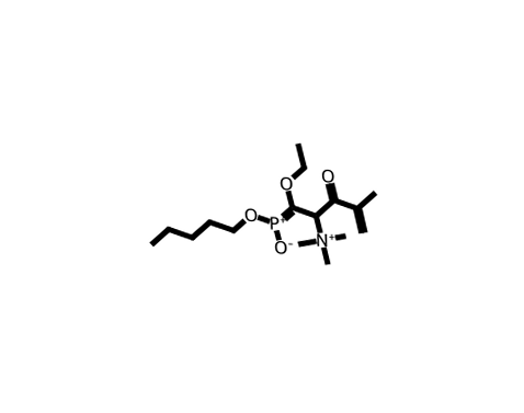 C=C(C)C(=O)C(/C(OCC)=[P+](\[O-])OCCCCC)[N+](C)(C)C